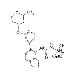 CC1CC(Oc2cc(-c3ccc4c(c3NC(=O)N[SH](C)(=O)C=O)CCC4)ccn2)CCO1